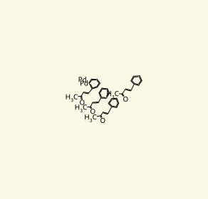 CC(=O)C=Cc1ccccc1.CC(=O)C=Cc1ccccc1.CC(=O)C=Cc1ccccc1.CC(=O)C=Cc1ccccc1.[Pd].[Pd]